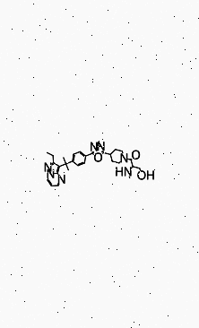 CCc1nn2cccnc2c1C(C)(C)c1ccc(-c2nnc(C3CCN(C(=O)C(CO)NC)CC3)o2)cc1